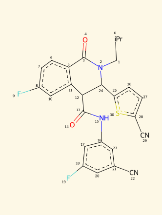 CC(C)CN1C(=O)c2ccc(F)cc2C(C(=O)Nc2cc(F)cc(C#N)c2)C1c1ccc(C#N)s1